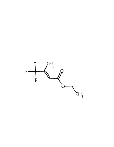 CCOC(=O)/C=C(\C)C(F)(F)F